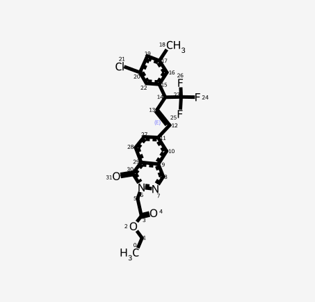 CCOC(=O)Cn1ncc2cc(/C=C/C(c3cc(C)cc(Cl)c3)C(F)(F)F)ccc2c1=O